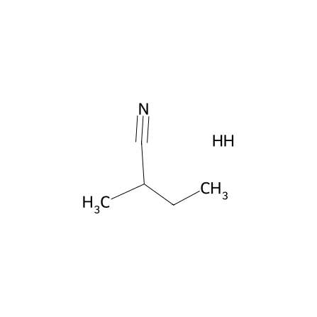 CCC(C)C#N.[HH]